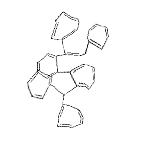 C(=C(/c1ccccc1)c1ccccc1-c1ccccc1P(c1ccccc1)c1ccccc1)/c1ccccc1